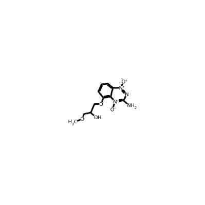 COCC(O)COc1cccc2c1[n+]([O-])c(N)n[n+]2[O-]